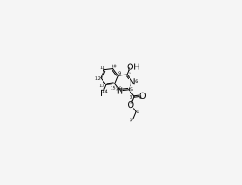 CCOC(=O)c1nc(O)c2cccc(F)c2n1